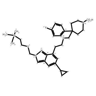 C[Si](C)(C)CCOCn1cc2cc(C3CC3)cc(CCOCC3(c4ccc(F)cc4)CCN(C(=O)O)CC3)c2n1